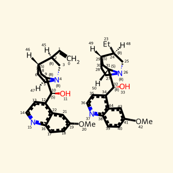 C=C[C@H]1C[N@]2CC[C@H]1C[C@@H]2[C@@H](O)c1ccnc2ccc(OC)cc12.CC[C@H]1C[N@]2CC[C@H]1C[C@H]2[C@H](O)c1ccnc2ccc(OC)cc12